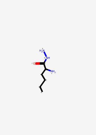 CCCCC(N)C(=O)NN